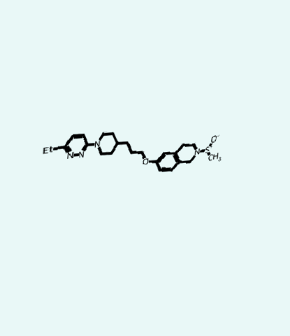 CCc1ccc(N2CCC(CCCOc3ccc4c(c3)CCN([S+](C)[O-])C4)CC2)nn1